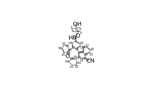 CC(C)(O)C(C)(C)OBc1ccc2c(c1)c1c(oc3c(c4cc(C#N)c5ccccc5c42)C=CCC3)C=CCC1